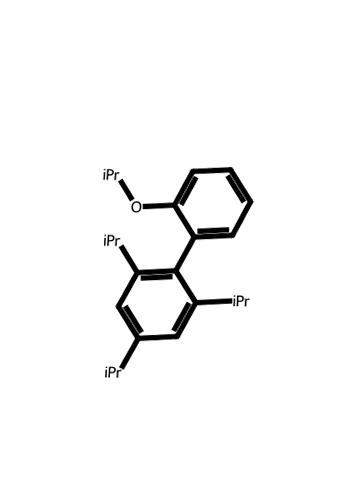 CC(C)Oc1ccccc1-c1c(C(C)C)cc(C(C)C)cc1C(C)C